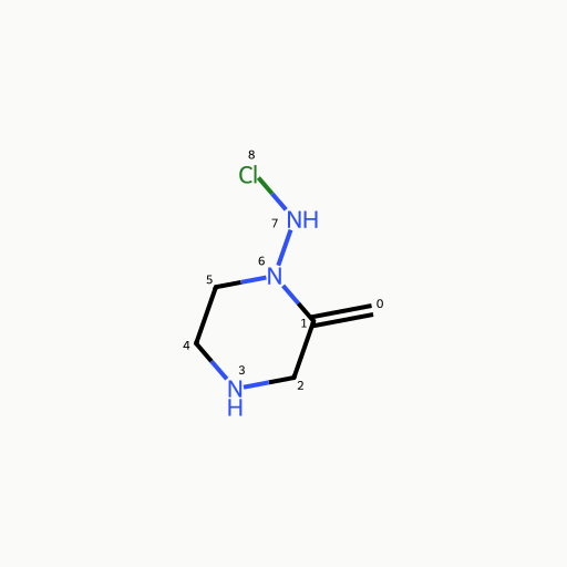 C=C1CNCCN1NCl